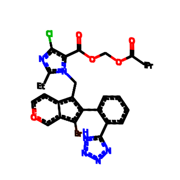 CCc1nc(Cl)c(C(=O)OCOC(=O)C(C)C)n1Cc1c2ccocc-2c(Br)c1-c1ccccc1-c1nnn[nH]1